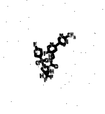 O=C(NCc1cc(-c2cnc(C(F)(F)F)nc2)ncc1F)[C@@H]1[C@@H]2[C@H](CN1S(=O)(=O)c1ccc(F)cc1)C2(F)F